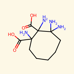 NC1(N)CCCCCC(N)(C(=O)O)C1(N)C(=O)O